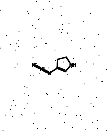 [N-]=[N+]=NC1=CNCC1